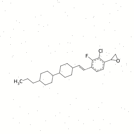 CCCC1CCC(C2CCC(/C=C/c3ccc(C4CO4)c(Cl)c3F)CC2)CC1